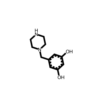 Oc1cc(O)cc(CN2CCNCC2)c1